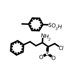 Cc1ccc(S(=O)(=O)O)cc1.NC(CCc1ccccc1)C(CCl)=S(=O)=O